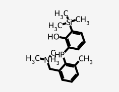 Cc1cccc(CN(C)C)c1Pc1cccc([Si](C)(C)C)c1O